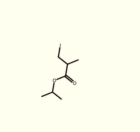 CC(C)OC(=O)C(C)CI